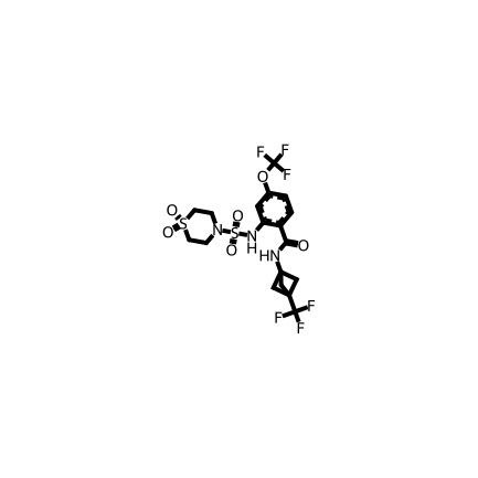 O=C(NC12CC(C(F)(F)F)(C1)C2)c1ccc(OC(F)(F)F)cc1NS(=O)(=O)N1CCS(=O)(=O)CC1